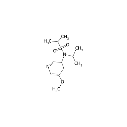 COC1=CN=CC(N(C(C)C)S(=O)(=O)C(C)C)C1